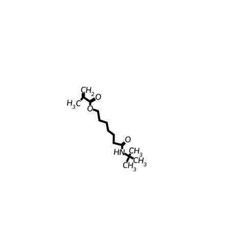 C=C(C)C(=O)OCCCCCCC(=O)NC(C)(C)C